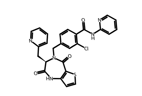 O=C(Nc1ccccn1)c1ccc(CN2C(=O)c3sccc3NC(=O)[C@H]2Cc2ccccn2)cc1Cl